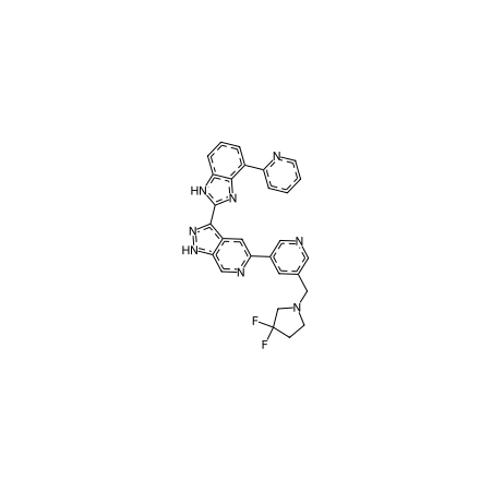 FC1(F)CCN(Cc2cncc(-c3cc4c(-c5nc6c(-c7ccccn7)cccc6[nH]5)n[nH]c4cn3)c2)C1